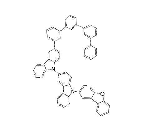 c1ccc(-c2cccc(-c3cccc(-c4cccc(-c5ccc6c(c5)c5ccccc5n6-c5ccc6c(c5)c5ccccc5n6-c5ccc6oc7ccccc7c6c5)c4)c3)c2)cc1